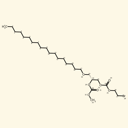 CCCCCCCCCCCCCCCCCCOC[C@H](COC(=O)OCCBr)OC(=O)OC